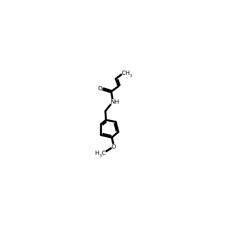 C/C=C/C(=O)NCc1ccc(OC)cc1